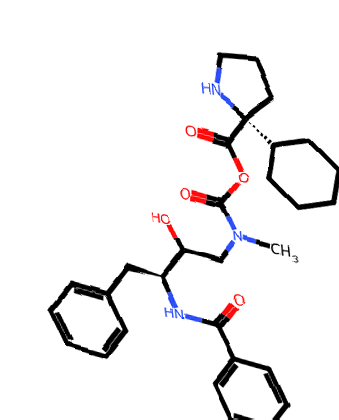 CN(CC(O)[C@H](Cc1ccccc1)NC(=O)c1ccccc1)C(=O)OC(=O)[C@]1(C2CCCCC2)CCCN1